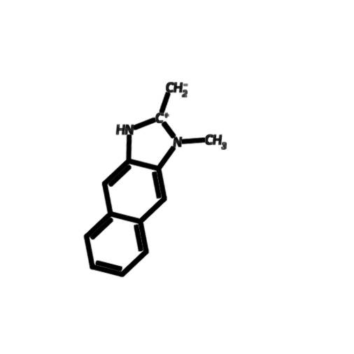 [CH2-][c+]1[nH]c2cc3ccccc3cc2n1C